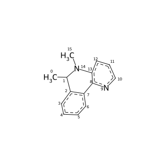 CC1c2ccccc2-c2ncccc2N1C